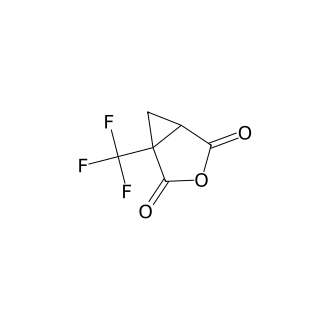 O=C1OC(=O)C2(C(F)(F)F)CC12